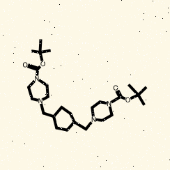 CC(C)(C)OC(=O)N1CCN(CC2CCC(CN3CCN(C(=O)OC(C)(C)C)CC3)CC2)CC1